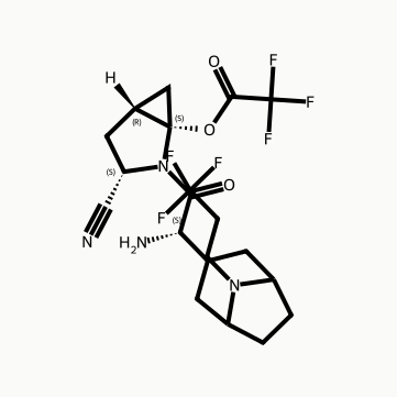 N#C[C@@H]1C[C@@H]2C[C@@]2(OC(=O)C(F)(F)F)N1C(=O)[C@@H](N)C1CC2CCC(C1)N2CCC(F)(F)F